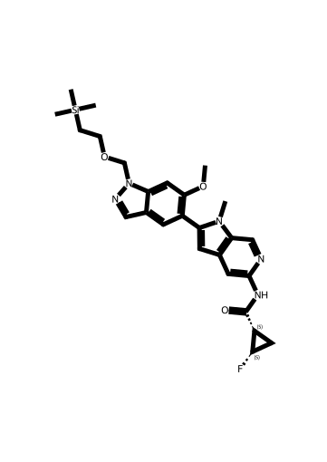 COc1cc2c(cnn2COCC[Si](C)(C)C)cc1-c1cc2cc(NC(=O)[C@@H]3C[C@@H]3F)ncc2n1C